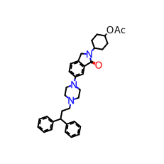 CC(=O)OC1CCC(N2Cc3ccc(N4CCN(CCC(c5ccccc5)c5ccccc5)CC4)cc3C2=O)CC1